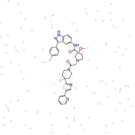 CO[C@@]1(C(=O)Nc2ccc3[nH]nc(-c4ccc(F)cc4)c3c2)CCN(CC(=O)N2CCC(F)(c3ncc(-c4ccccn4)s3)CC2)C1